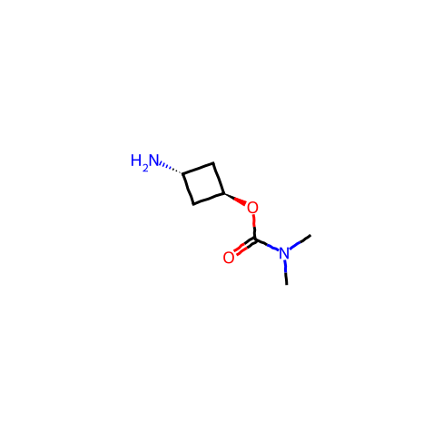 CN(C)C(=O)O[C@H]1C[C@H](N)C1